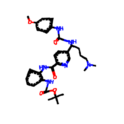 COc1ccc(NC(=O)NC(CCCN(C)C)c2ccc(C(=O)Nc3ccccc3NC(=O)OC(C)(C)C)nc2)cc1